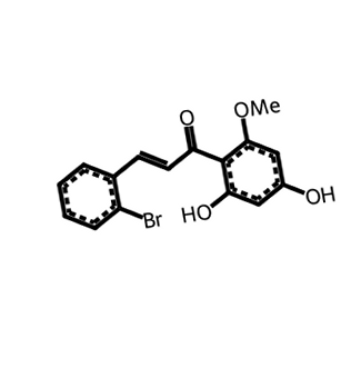 COc1cc(O)cc(O)c1C(=O)/C=C/c1ccccc1Br